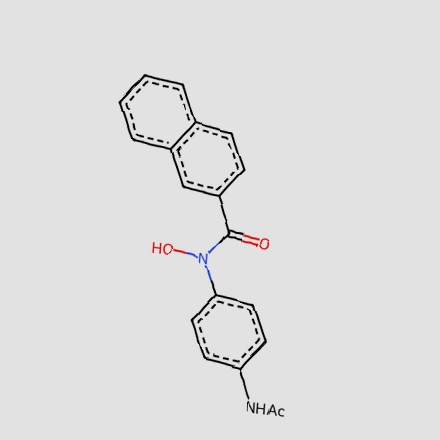 CC(=O)Nc1ccc(N(O)C(=O)c2ccc3ccccc3c2)cc1